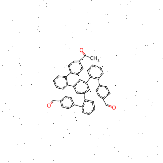 CC(=O)c1ccc(-c2ccccc2-c2cc(-c3ccccc3-c3ccc(C=O)cc3)cc(-c3ccccc3-c3ccc(C=O)cc3)c2)cc1